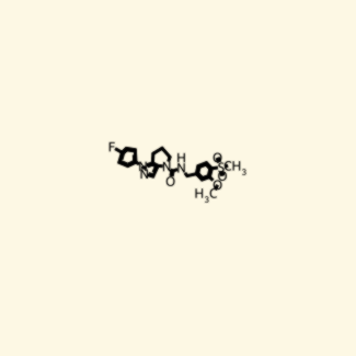 COc1cc(CNC(=O)N2CCCc3c2cnn3-c2ccc(F)cc2)ccc1S(C)(=O)=O